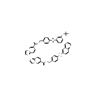 O=C(NCc1ccc(S(=O)(=O)c2ccc3ncccc3c2)cc1)c1ccc2nccn2c1.O=C(NCc1ccc(S(=O)(=O)c2cccc(OC(F)(F)F)c2)cc1)c1ccc2nccn2c1